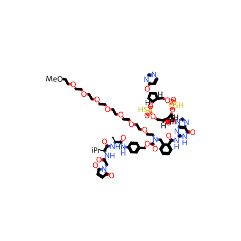 COCCOCCOCCOCCOCCOCCOCCOCCN(Cc1ccccc1C(=O)Nc1nc2c(ncn2[C@@H]2O[C@@H]3CO[P@@](=O)(S)O[C@H]4C[C@H](Oc5ccncn5)C[C@@H]4COP(=O)(S)O[C@@H]2[C@@H]3O)c(=O)[nH]1)C(=O)OCc1ccc(NC(=O)[C@H](C)NC(=O)[C@@H](NC(=O)CN2C(=O)C=CC2=O)C(C)C)cc1